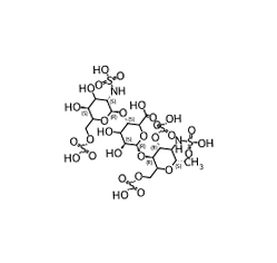 C[C@@H]1OC(COS(=O)(=O)O)[C@@H](O[C@@H]2OC(C(=O)O)[C@@H](O[C@H]3OC(COS(=O)(=O)O)[C@@H](O)C(O)[C@@H]3NS(=O)(=O)O)C(O)[C@@H]2O)[C@H](OS(=O)(=O)O)C1NS(=O)(=O)O